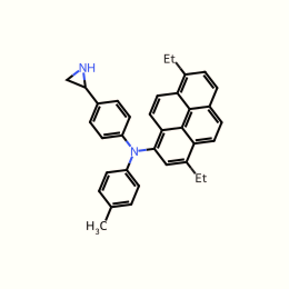 CCc1ccc2ccc3c(CC)cc(N(c4ccc(C)cc4)c4ccc(C5CN5)cc4)c4ccc1c2c34